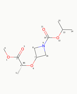 COC(=O)[C@@H](C)OC1CN(C(=O)OC(C)C)C1